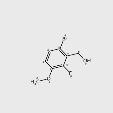 COc1ccc(Br)c(CO)c1F